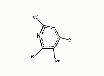 N#Cc1cc(Br)c(O)c(Br)n1